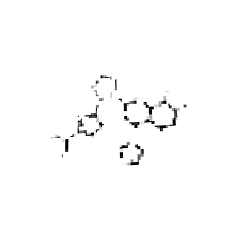 O=C(O)c1ccc(C2CCCN2c2cc(-n3ccnc3)c3ccc(Cl)c(Cl)c3n2)s1